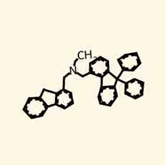 CCN(Cc1cccc2c1Cc1ccccc1-2)Cc1cccc2c1-c1ccccc1C2(c1ccccc1)c1ccccc1